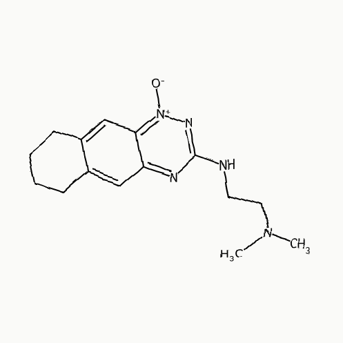 CN(C)CCNc1nc2cc3c(cc2[n+]([O-])n1)CCCC3